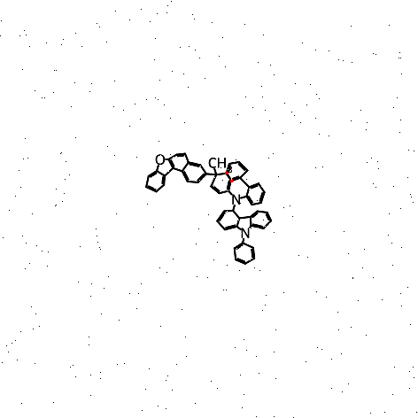 CC1(c2ccc3c(ccc4oc5ccccc5c43)c2)C=CC(N(c2ccccc2-c2ccccc2)C2C=CC=C3C2c2ccccc2N3c2ccccc2)=CC1